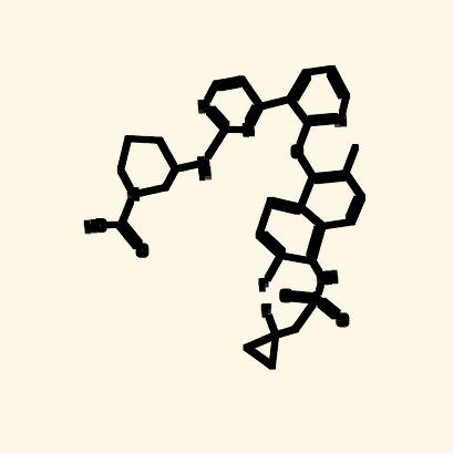 Cc1ccc2c(NS(=O)(=O)CC3(F)CC3)c(F)ccc2c1Oc1ncccc1-c1ccnc(NC2CCCN(C(=O)O)C2)n1